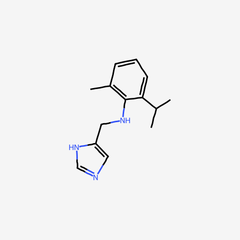 Cc1cccc(C(C)C)c1NCc1cnc[nH]1